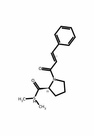 C[SH](C)C(=O)[C@@H]1CCCN1C(=O)/C=C/c1ccccc1